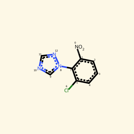 O=[N+]([O-])c1cccc(Cl)c1-n1cncn1